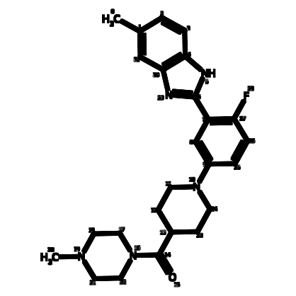 Cc1ccc2[nH]c(-c3cc(N4CCC(C(=O)N5CCN(C)CC5)CC4)ccc3F)nc2c1